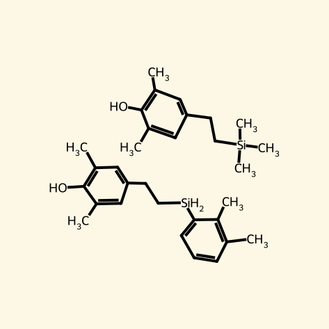 Cc1cc(CC[Si](C)(C)C)cc(C)c1O.Cc1cccc([SiH2]CCc2cc(C)c(O)c(C)c2)c1C